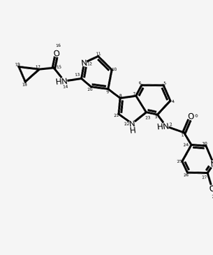 O=C(Nc1cccc2c(-c3ccnc(NC(=O)C4CC4)c3)c[nH]c12)c1ccc(C(F)(F)F)nc1